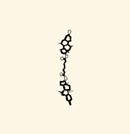 C=C1C=C2C[C@@H](C)C3C(C2CC1)[C@@H](C)C[C@@]1(C)C3CC[C@@H]1OC(=O)CCCCCC(=O)O[C@H]1CCC2C3C(C4CCC(=O)C=C4C[C@H]3C)[C@@H](C)C[C@@]21C